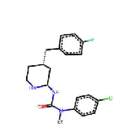 CCN(C(=O)N[C@@H]1C[C@@H](Cc2ccc(F)cc2)CCN1)c1ccc(Cl)cc1